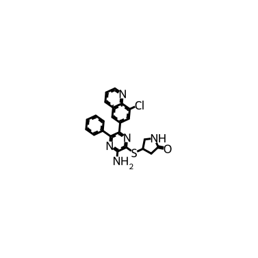 Nc1nc(-c2ccccc2)c(-c2cc(Cl)c3ncccc3c2)nc1SC1CNC(=O)C1